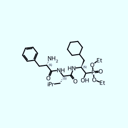 CCOP(=O)(OCC)C(O)[C@H](CC1CCCCC1)NC(=O)[C@H](CC(C)C)NC(=O)[C@@H](N)Cc1ccccc1